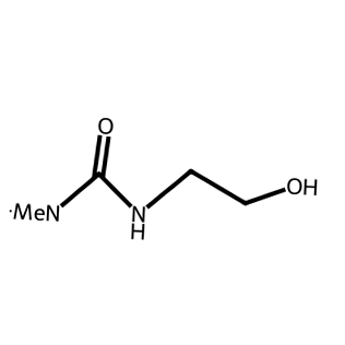 C[N]C(=O)NCCO